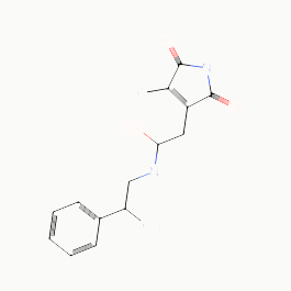 CC1=C(CC(O)NCC(C)c2ccccc2)C(=O)NC1=O